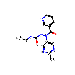 CCNC(=O)NN(C(=O)c1cccnc1)c1cnc(C)nc1